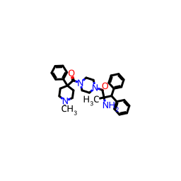 CN1CCC(C(=O)N2CCN(C(=O)C(C)(N)C(c3ccccc3)c3ccccc3)CC2)(c2ccccc2)CC1